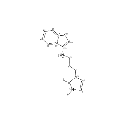 CC1N(C)C=CN1CCCNc1nsc2ccccc12